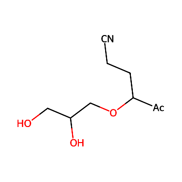 CC(=O)C(CCC#N)OCC(O)CO